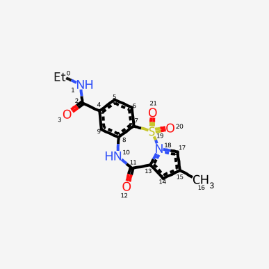 CCNC(=O)c1ccc2c(c1)NC(=O)c1cc(C)cn1S2(=O)=O